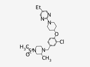 CCc1cnc(N2CCC(Oc3ccc(CN4CCN([S+](C)[O-])CC4C)cc3Cl)CC2)nc1